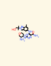 Cc1cc(Nc2nc(N[C@@H]3CCOC[C@@H]3N)nnc2C(N)=O)cc2cn(C(C)(C)CO)nc12